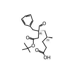 C[C@@H](CCC(=O)O)C[C@](C=O)(CC(=O)OC(C)(C)C)Cc1ccccc1